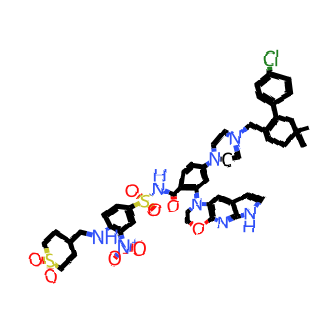 CC1(C)CCC(CN2CCN(c3ccc(C(=O)NS(=O)(=O)c4ccc(NCC5CCS(=O)(=O)CC5)c([N+](=O)[O-])c4)c(N4CCOc5nc6[nH]ccc6cc54)c3)CC2)=C(c2ccc(Cl)cc2)C1